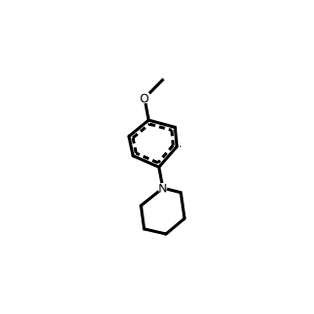 COc1c[c]c(N2CCCCC2)cc1